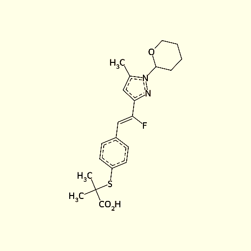 Cc1cc(C(F)=Cc2ccc(SC(C)(C)C(=O)O)cc2)nn1C1CCCCO1